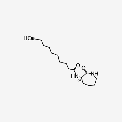 C#CCCCCCCCCC(=O)N[C@H]1CCCCNC1=O